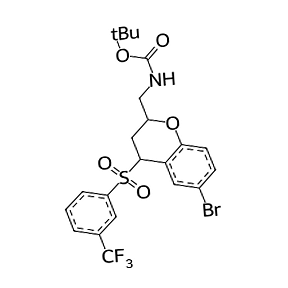 CC(C)(C)OC(=O)NCC1CC(S(=O)(=O)c2cccc(C(F)(F)F)c2)c2cc(Br)ccc2O1